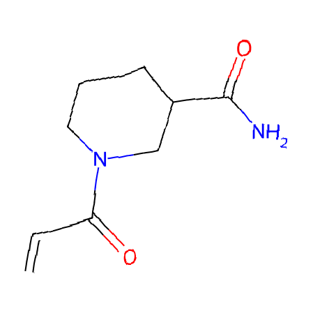 C=CC(=O)N1CCCC(C(N)=O)C1